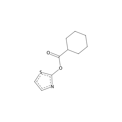 O=C(Oc1nccs1)C1CCCCC1